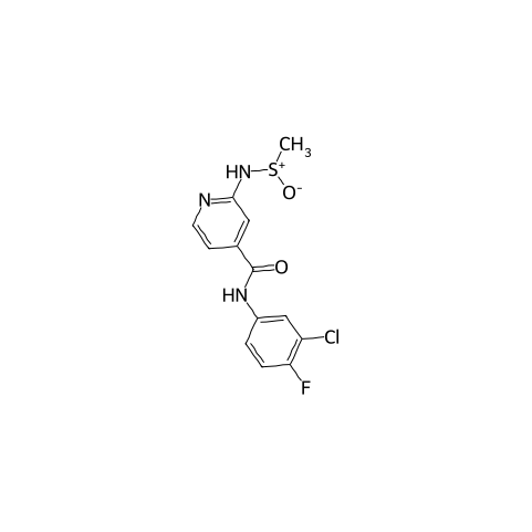 C[S+]([O-])Nc1cc(C(=O)Nc2ccc(F)c(Cl)c2)ccn1